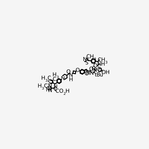 Cc1ncsc1-c1ccc(C(C)NC(=O)[C@@H]2C[C@@H](O)CN2C(=O)C(NC(=O)c2cc3cc(O[C@H]4C[C@H](NC(=O)C5CCN(c6ccc(C7=N[C@@H](CC(=O)O)c8nnc(C)n8-c8sc(C)c(C)c87)cc6)CC5)C4)ccc3o2)C(C)(C)C)cc1